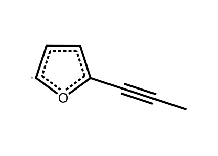 CC#Cc1cc[c]o1